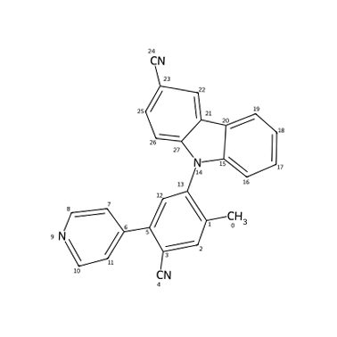 Cc1cc(C#N)c(-c2ccncc2)cc1-n1c2ccccc2c2cc(C#N)ccc21